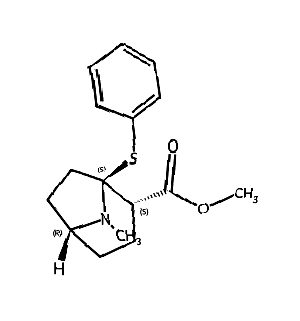 COC(=O)[C@@H]1CC[C@@H]2CC[C@@]1(Sc1ccccc1)N2C